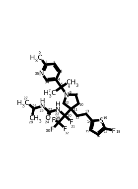 Cc1ccc(C(C)(C)N2CCC(CCc3ccc(F)s3)(C(F)(NC(=O)NC(C)C)C(F)(F)F)C2)cn1